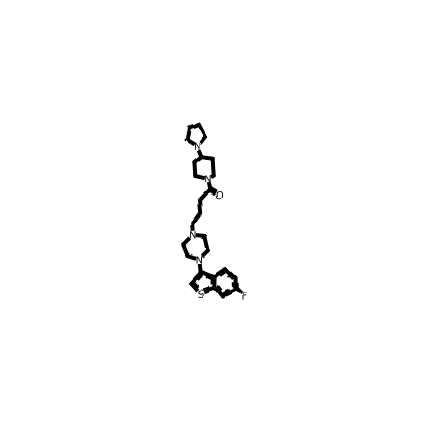 O=C(CCCN1CCN(c2csc3cc(F)ccc23)CC1)N1CCC(N2CCCC2)CC1